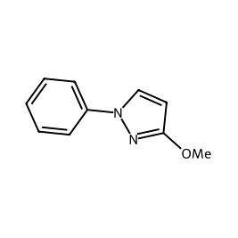 [CH2]Oc1ccn(-c2ccccc2)n1